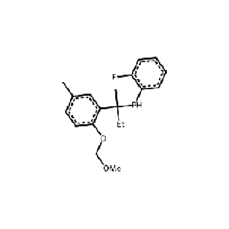 CCC(C)(Pc1ccccc1F)c1cc(C)ccc1OCOC